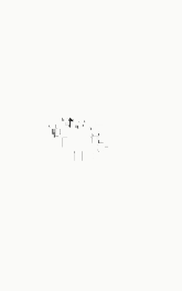 Cc1cc(C)cc(N2CCC(NC3CCN(C(=O)N4CCc5ncc(C(F)(F)F)cc5C4)C3)CC2)c1